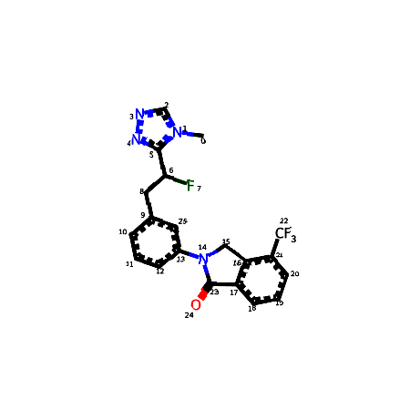 Cn1cnnc1C(F)Cc1cccc(N2Cc3c(cccc3C(F)(F)F)C2=O)c1